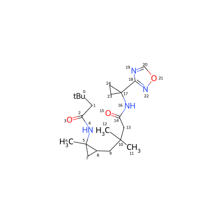 CC(C)(C)CC(=O)NC1(C)CC1CC(C)(C)CC(=O)NC1(c2ncon2)CC1